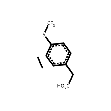 CC.O=C(O)Cc1ccc(SC(F)(F)F)cc1